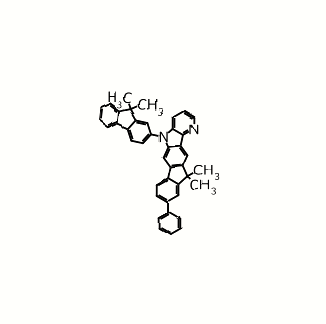 CC1(C)c2ccccc2-c2ccc(-n3c4cc5c(cc4c4ncccc43)C(C)(C)c3cc(-c4ccccc4)ccc3-5)cc21